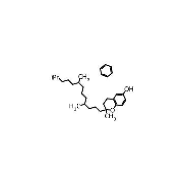 CC(C)CCCC(C)CCCC(C)CCCC1(C)CCc2cc(O)ccc2O1.c1ccccc1